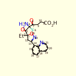 CCC1(C(=O)C(N)(F)C(=O)CCC(=O)O)CC(c2cccc3cccnc23)=NO1